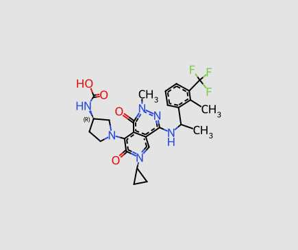 Cc1c(C(C)Nc2nn(C)c(=O)c3c(N4CC[C@@H](NC(=O)O)C4)c(=O)n(C4CC4)cc23)cccc1C(F)(F)F